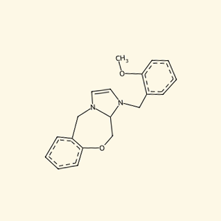 COc1ccccc1CN1C=CN2Cc3ccccc3OCC12